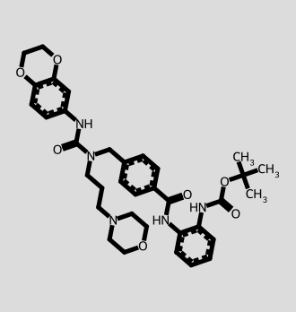 CC(C)(C)OC(=O)Nc1ccccc1NC(=O)c1ccc(CN(CCCN2CCOCC2)C(=O)Nc2ccc3c(c2)OCCO3)cc1